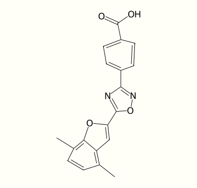 Cc1ccc(C)c2oc(-c3nc(-c4ccc(C(=O)O)cc4)no3)cc12